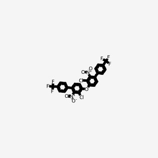 O=[N+]([O-])c1c(-c2ccc(C(F)(F)F)cc2)ccc(Oc2ccc(-c3ccc(C(F)(F)F)cc3)c([N+](=O)[O-])c2Cl)c1Cl